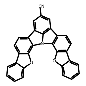 N#Cc1cc2c3ccc4c5ccccc5oc4c3n3c2c(c1)c1ccc2c4ccccc4oc2c13